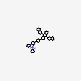 c1ccc2cc(-c3c4ccccc4c(-c4ccc5ccccc5c4)c4cc(-c5ccc(-c6ccc7c8ccccc8n8c9ccccc9nc8c7c6)cc5)ccc34)ccc2c1